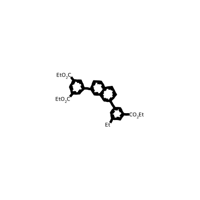 CCOC(=O)c1cc(CC)cc(-c2ccc3ccc(-c4cc(C(=O)OCC)cc(C(=O)OCC)c4)cc3c2)c1